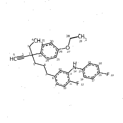 C#CC(CC)(CCCc1ccc(F)c(Nc2ccc(F)cc2)c1)c1ccc(OCC)cc1